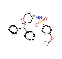 O=S(=O)(N[C@H]1CCO[C@@H](C(c2ccccc2)c2ccccc2)C1)c1ccc(OC(F)(F)F)cc1